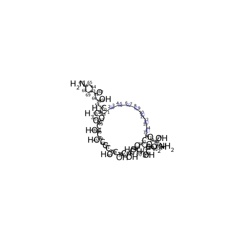 CC1/C=C/C=C/C=C\C=C/C=C/C=C/C=C/C(OC2O[C@H](C)C[C@H](N)[C@@H]2O)CC2OC(O)(CC(O)CC(O)CC(O)CCCC(O)CC(O)CC(=O)OC1C(C)CCC(O)CC(=O)c1ccc(N)cc1)CC(O)C2C(=O)O